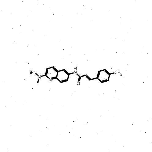 CC(C)N(C)c1ccc2cc(NC(=O)C=Cc3ccc(C(F)(F)F)cc3)ccc2n1